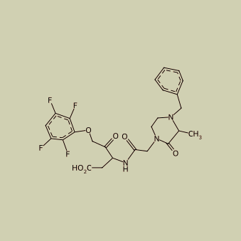 CC1C(=O)N(CC(=O)NC(CC(=O)O)C(=O)COc2c(F)c(F)cc(F)c2F)CCN1Cc1ccccc1